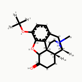 [2H]C([2H])([2H])Oc1ccc2c3c1OC1C(=O)CC[C@@]4([2H])[C@@H](C2)N(C)CC[C@]314